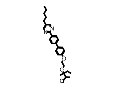 CCCCCc1cnc(-c2ccc(-c3ccc(OCCOC(C)(CC)C(C)Cl)cc3)cc2)nc1